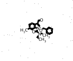 CCN(CC)C(=O)[N+]1(OCc2ccccc2)C=C(C=O)c2ccc(C)cc21